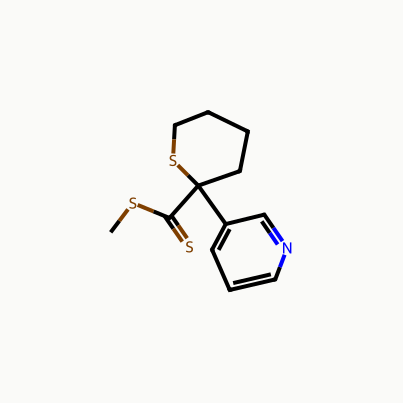 CSC(=S)C1(c2cccnc2)CCCCS1